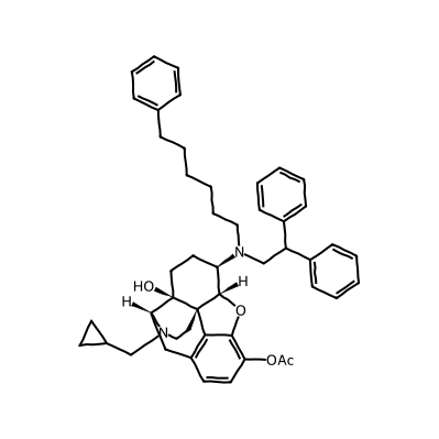 CC(=O)Oc1ccc2c3c1O[C@H]1[C@H](N(CCCCCCc4ccccc4)CC(c4ccccc4)c4ccccc4)CC[C@@]4(O)[C@@H](C2)N(CC2CC2)CC[C@]314